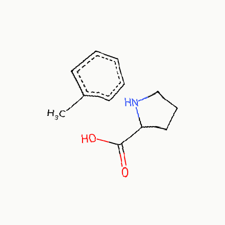 Cc1ccccc1.O=C(O)C1CCCN1